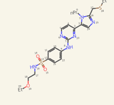 CCCn1c(-c2ccnc(Nc3ccc(S(=O)(=O)NCCOCC)cc3)n2)cnc1CSCC